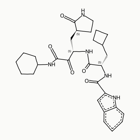 O=C(NC1CCCCC1)C(=O)[C@H](C[C@@H]1CCNC1=O)NC(=O)[C@H](CC1CCC1)NC(=O)c1cc2ccccc2[nH]1